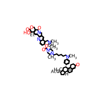 CC[C@@]1(O)C(=O)OCc2c1cc1n(c2=O)Cc2cc3c(CN(C)C)c(OC(=O)N4C[C@H](C)N(CCCCCCN(C)c5ccc([C@H]6C[C@]7(C)[C@H](OC(C)=O)CC[C@H]7[C@@H]7CCC8=CC(=O)CCC8=C76)cc5)C[C@H]4C)ccc3nc2-1